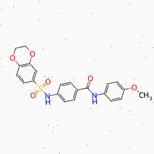 COc1ccc(NC(=O)c2ccc(NS(=O)(=O)c3ccc4c(c3)OCCO4)cc2)cc1